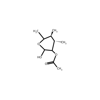 CC(=O)OC1C(O)OC(C)[C@@H](C)[C@@H]1C